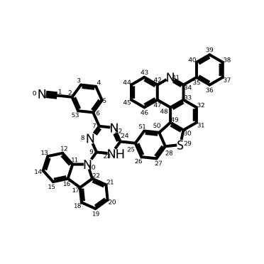 N#Cc1cccc(C2=NC(n3c4ccccc4c4ccccc43)NC(c3ccc4sc5ccc6c(-c7ccccc7)nc7ccccc7c6c5c4c3)=N2)c1